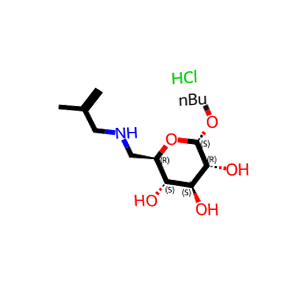 C=C(C)CNC[C@H]1O[C@H](OCCCC)[C@H](O)[C@@H](O)[C@@H]1O.Cl